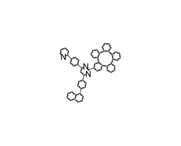 c1ccc(-c2ccc(-c3cc(-c4ccc(-c5cccc6ccccc56)cc4)nc(-c4ccc5c6ccccc6c6ccccc6c6ccccc6c6ccccc6c5c4)n3)cc2)nc1